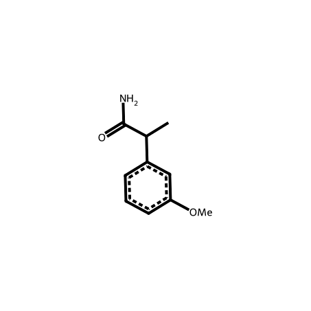 COc1cccc(C(C)C(N)=O)c1